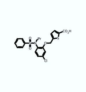 CC(C)N(c1ccc(Cl)cc1OCc1ccc(C(=O)O)s1)S(=O)(=O)c1ccccc1